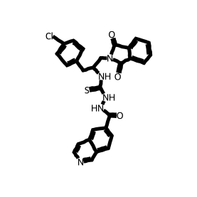 O=C(NNC(=S)NC(Cc1ccc(Cl)cc1)CN1C(=O)c2ccccc2C1=O)c1ccc2cnccc2c1